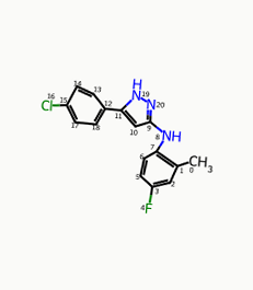 Cc1cc(F)ccc1Nc1cc(-c2ccc(Cl)cc2)[nH]n1